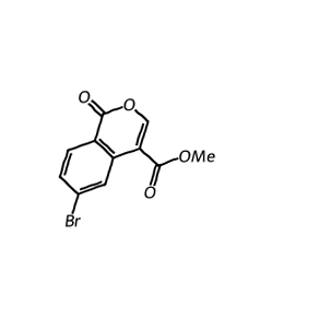 COC(=O)c1coc(=O)c2ccc(Br)cc12